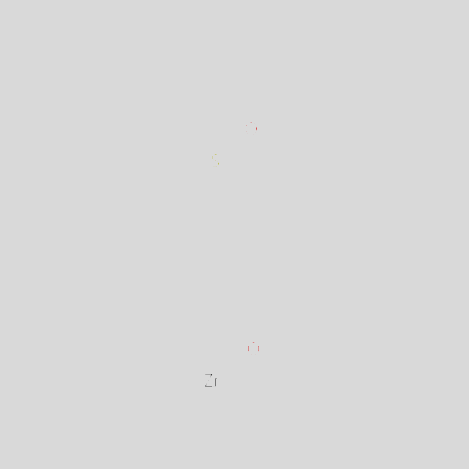 COSc1ccc([O][Zr])cc1